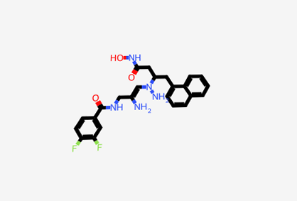 N/C(=C\N(N)C(CC(=O)NO)Cc1cccc2ccccc12)CNC(=O)c1ccc(F)c(F)c1